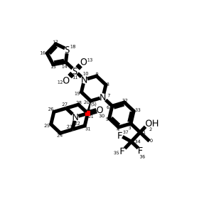 CC(O)(c1ccc(N2CCN(S(=O)(=O)c3cccs3)C[C@@H]2CN2C3CCCC2CC(=O)C3)cc1)C(F)(F)F